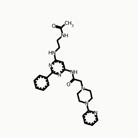 CC(=O)NCCNc1cc(NC(=O)CN2CCN(c3ccccn3)CC2)nc(-c2ccccc2)n1